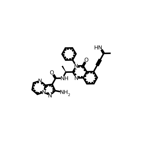 CC(=N)C#Cc1cccc2nc([C@H](C)NC(=O)c3c(N)nn4cccnc34)n(-c3ccccc3)c(=O)c12